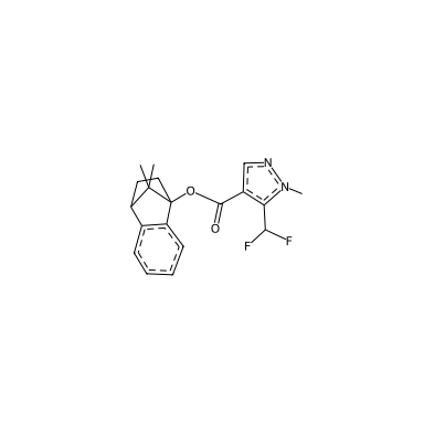 Cn1ncc(C(=O)OC23CCC(c4ccccc42)C3(C)C)c1C(F)F